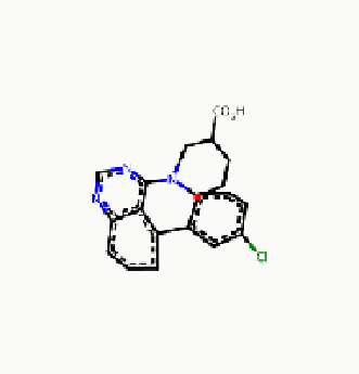 O=C(O)C1CCCN(c2ncnc3cccc(-c4cccc(Cl)c4)c23)C1